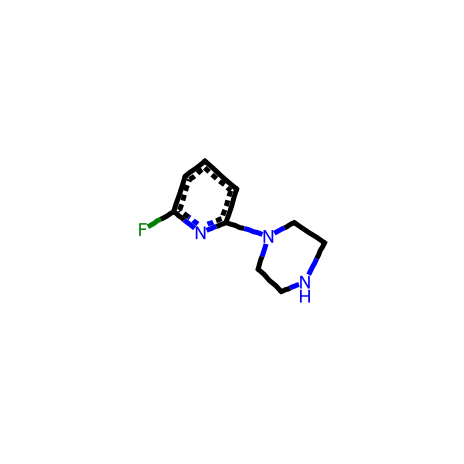 Fc1cccc(N2CCNCC2)n1